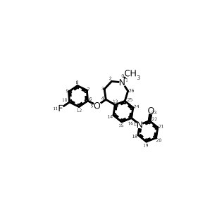 CN1CCC(Oc2cccc(F)c2)c2ccc(-n3ccccc3=O)cc2C1